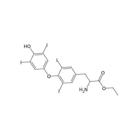 CCOC(=O)C(N)Cc1cc(I)c(Oc2cc(I)c(O)c(I)c2)c(I)c1